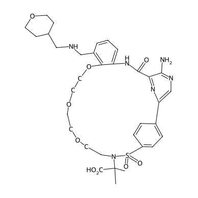 CC(C)(C(=O)O)N1CCOCCOCCOc2c(CNCC3CCOCC3)cccc2NC(=O)c2nc(cnc2N)-c2ccc(cc2)S1(=O)=O